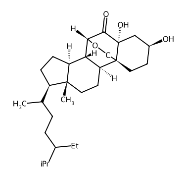 CCC(CCC(C)[C@H]1CC[C@H]2[C@@H]3[C@H]4OC[C@@]5(CC[C@H](O)C[C@]5(O)C4=O)[C@H]3CC[C@]12C)C(C)C